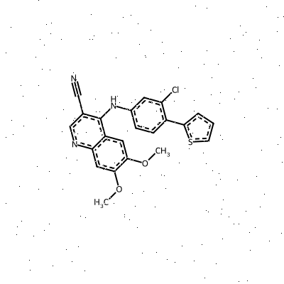 COc1cc2ncc(C#N)c(Nc3ccc(-c4cccs4)c(Cl)c3)c2cc1OC